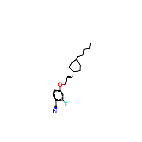 CCCCC[C@H]1CC[C@H](/C=C/COc2ccc(C#N)c(F)c2)CC1